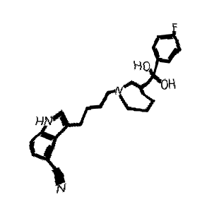 N#Cc1ccc2[nH]cc(CCCCN3CCCC(C(O)(O)c4ccc(F)cc4)C3)c2c1